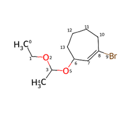 CCOC(C)OC1C=C(Br)CCCC1